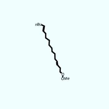 CCCCC=CCCCCCCCCC=CCCOOC